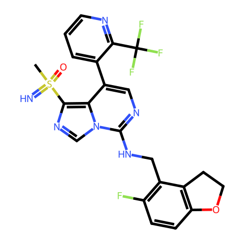 CS(=N)(=O)c1ncn2c(NCc3c(F)ccc4c3CCO4)ncc(-c3cccnc3C(F)(F)F)c12